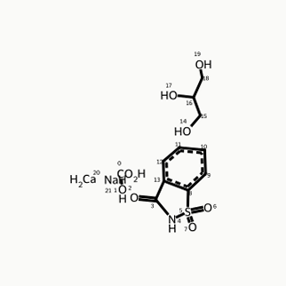 O=C(O)O.O=C1NS(=O)(=O)c2ccccc21.OCC(O)CO.[CaH2].[NaH]